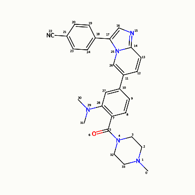 CN1CCN(C(=O)c2ccc(-c3ccc4ncc(-c5ccc(C#N)cc5)n4c3)cc2N(C)C)CC1